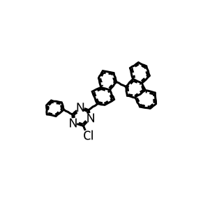 Clc1nc(-c2ccccc2)nc(-c2ccc3c(-c4cc5ccccc5c5ccccc45)cccc3c2)n1